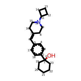 OC1(c2ccc(C=C3CCN(C4CCC4)CC3)cc2)CCCCC1